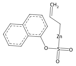 C=C[CH2][Zn][S](=O)(=O)Oc1cccc2ccccc12